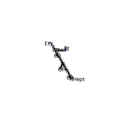 CC/C=C\CCCCOC(CCC(=O)OCCCCCCN(CCCO)CCCCCCCCCC(=O)OCCCCCCC)OCCCC/C=C\CC